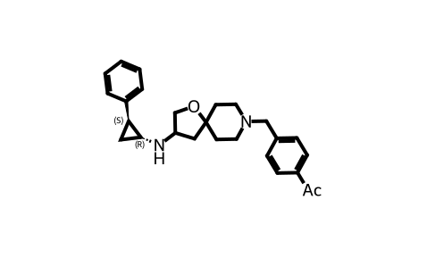 CC(=O)c1ccc(CN2CCC3(CC2)CC(N[C@@H]2C[C@H]2c2ccccc2)CO3)cc1